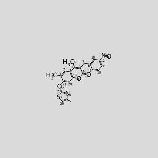 Cc1cc2c(C)c(Cc3cccc(N=O)c3)c(=O)oc2cc1Oc1nccs1